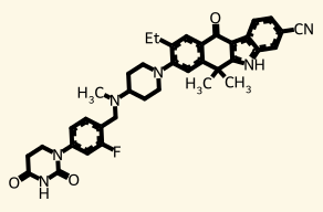 CCc1cc2c(cc1N1CCC(N(C)Cc3ccc(N4CCC(=O)NC4=O)cc3F)CC1)C(C)(C)c1[nH]c3cc(C#N)ccc3c1C2=O